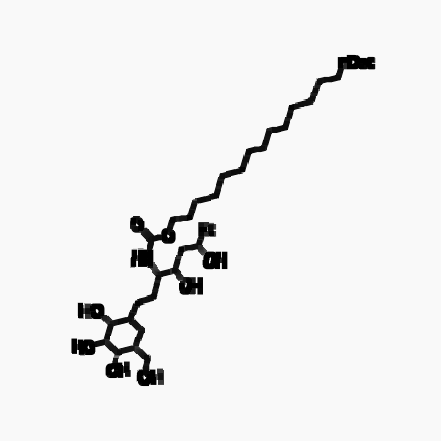 CCCCCCCCCCCCCCCCCCCCCCCCOC(=O)NC(CCC1CC(CO)C(O)C(O)C1O)C(O)CC(O)CC